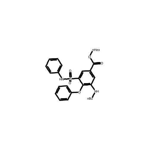 CCCCCCOC(=O)c1cc(NCCCC)c(Oc2ccccc2)c(S(=O)(=O)Nc2ccccc2)c1